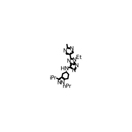 CCCn1nc(C(C)C)c2c1CC[C@@H](Nc1ncnc3c1nc(-c1cnc(C)nc1)n3CC)C2